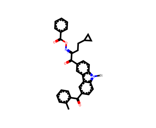 CCn1c2ccc(C(=O)/C(CCC3CC3)=N/OC(=O)c3ccccc3)cc2c2cc(C(=O)c3ccccc3C)ccc21